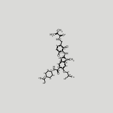 C=C(C)C(=O)NCc1ccc(Cl)c(Nc2nc3cc(C(=O)N[C@H]4CC[C@H](C(F)F)CC4)c(OCC(F)F)cc3n2C)c1Cl